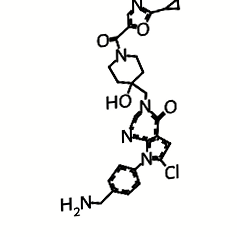 NCc1ccc(-n2c(Cl)cc3c(=O)n(CC4(O)CCN(C(=O)c5cnc(C6CC6)o5)CC4)cnc32)cc1